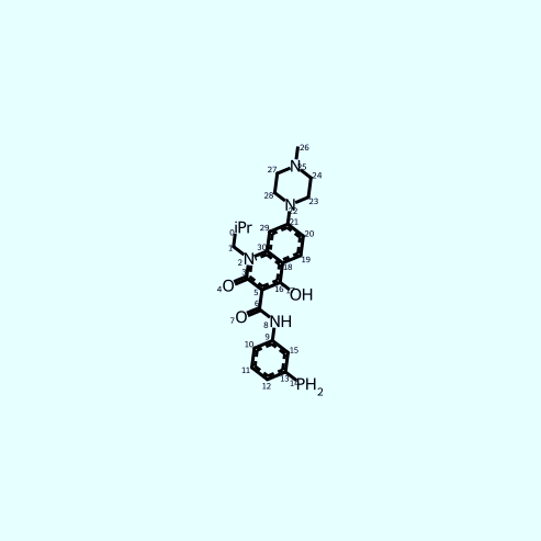 CC(C)Cn1c(=O)c(C(=O)Nc2cccc(P)c2)c(O)c2ccc(N3CCN(C)CC3)cc21